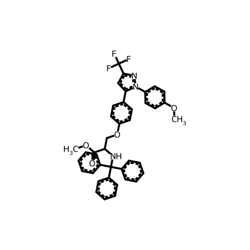 COC(=O)C(COc1ccc(-c2cc(C(F)(F)F)nn2-c2ccc(OC)cc2)cc1)NC(c1ccccc1)(c1ccccc1)c1ccccc1